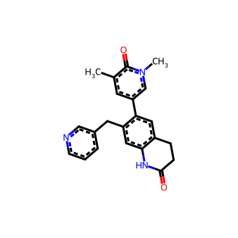 Cc1cc(-c2cc3c(cc2Cc2cccnc2)NC(=O)CC3)cn(C)c1=O